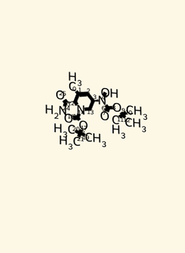 CC1=C[C@@H](N(O)C(=O)OC(C)(C)C)CN(C(=O)OC(C)(C)C)[C@@H]1C(N)=O